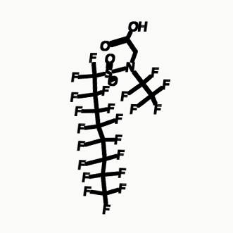 O=C(O)CN(C(F)(F)C(F)(F)F)S(=O)(=O)C(F)(F)C(F)(F)C(F)(F)C(F)(F)C(F)(F)C(F)(F)C(F)(F)C(F)(F)F